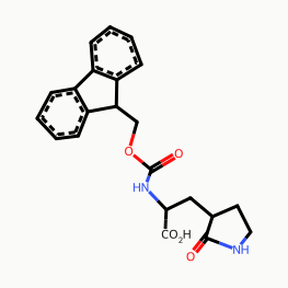 O=C(NC(CC1CCNC1=O)C(=O)O)OCC1c2ccccc2-c2ccccc21